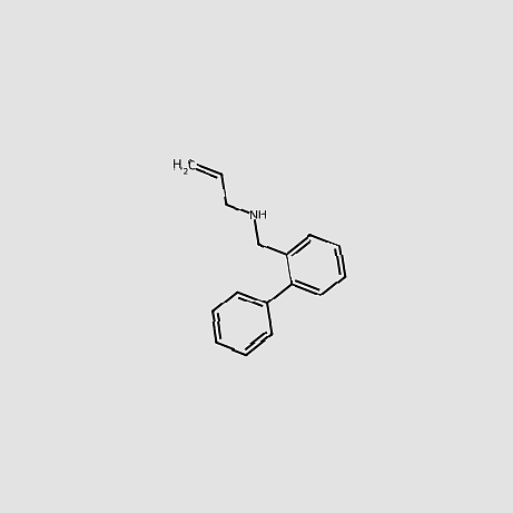 C=CCNCc1ccccc1-c1ccccc1